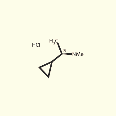 CN[C@H](C)C1CC1.Cl